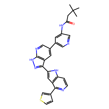 CC(C)(C)CC(=O)Nc1cncc(-c2cnc3[nH]nc(-c4cc5c(-c6ccsc6)nccc5[nH]4)c3c2)c1